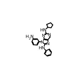 Nc1cccc(-n2c(Nc3ccccc3)nc3cnc(NC4CCCC4)nc32)c1